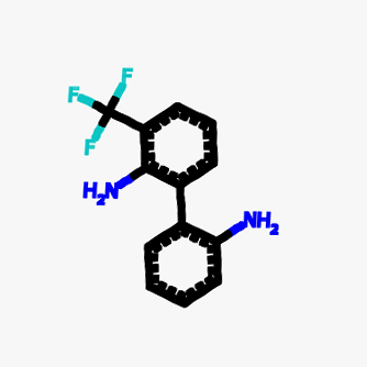 Nc1ccccc1-c1cccc(C(F)(F)F)c1N